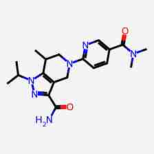 CC1CN(c2ccc(C(=O)N(C)C)cn2)Cc2c(C(N)=O)nn(C(C)C)c21